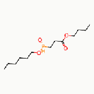 CCCCCCO[PH](=O)CCC(=O)OCCCC